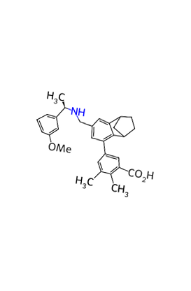 COc1cccc([C@@H](C)NCc2cc(-c3cc(C)c(C)c(C(=O)O)c3)c3c(c2)C2CCC3C2)c1